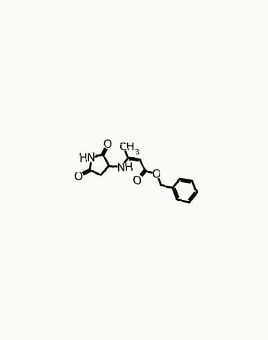 CC(=CC(=O)OCc1ccccc1)NC1CC(=O)NC1=O